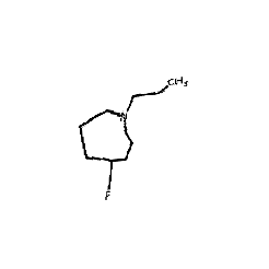 CCCN1CCCC(F)CC1